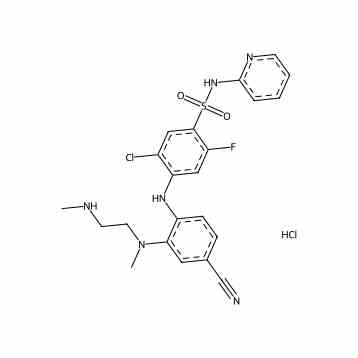 CNCCN(C)c1cc(C#N)ccc1Nc1cc(F)c(S(=O)(=O)Nc2ccccn2)cc1Cl.Cl